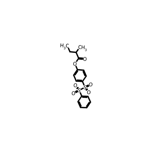 CCC(C)C(=O)Oc1ccc(S(=O)(=O)S(=O)(=O)c2ccccc2)cc1